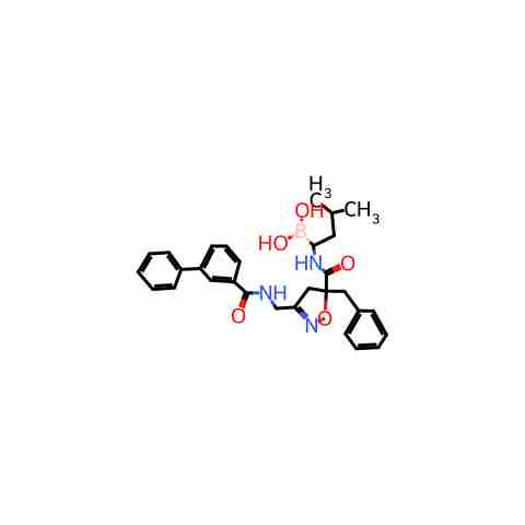 CC(C)CC(NC(=O)C1(Cc2ccccc2)CC(CNC(=O)c2cccc(-c3ccccc3)c2)=NO1)B(O)O